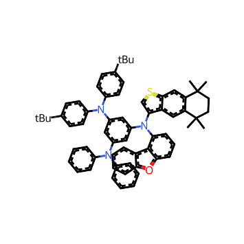 CC(C)(C)c1ccc(N(c2ccc(C(C)(C)C)cc2)c2cc(N(c3ccccc3)c3ccccc3)cc(N(c3csc4cc5c(cc34)C(C)(C)CCC5(C)C)c3cccc4oc5ccccc5c34)c2)cc1